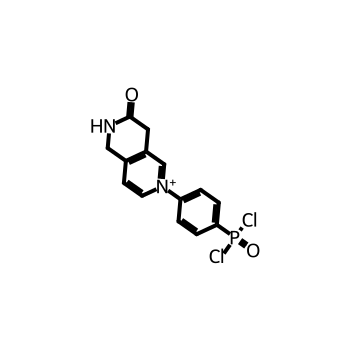 O=C1Cc2c[n+](-c3ccc(P(=O)(Cl)Cl)cc3)ccc2CN1